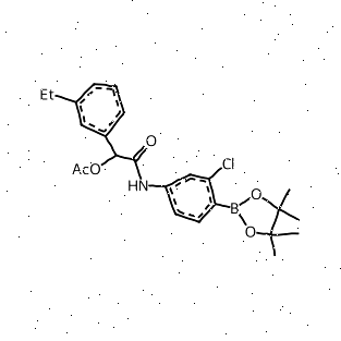 CCc1cccc(C(OC(C)=O)C(=O)Nc2ccc(B3OC(C)(C)C(C)(C)O3)c(Cl)c2)c1